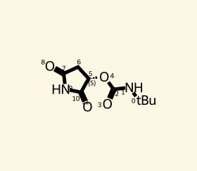 CC(C)(C)NC(=O)O[C@H]1CC(=O)NC1=O